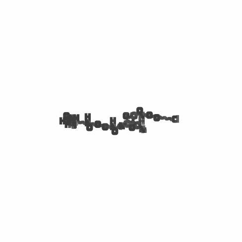 O=Cc1ccc(C(=O)NCCOCCOCCCCCCCl)cc1-c1c2ccc(=[N+]3CC(C(=O)NCCOCCOCCC(=O)NCCCC[C@@H]4SC[C@@H]5NC(=O)N[C@@H]54)C3)cc-2oc2cc(N3CCC3)ccc12